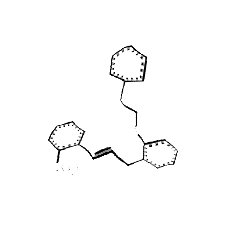 O=C(O)c1ccccc1C=CCc1ccccc1OCCc1ccccc1